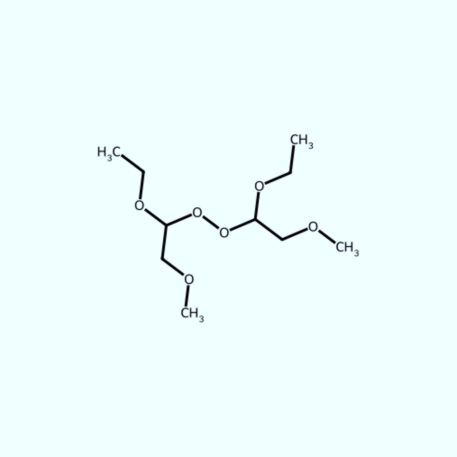 CCOC(COC)OOC(COC)OCC